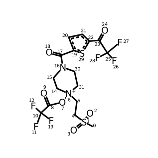 CS(=O)(=O)CC[N+]1(OC(=O)C(F)(F)F)CCN(C(=O)c2ccc(C(=O)C(F)(F)F)s2)CC1